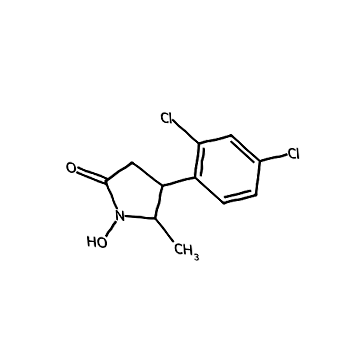 CC1C(c2ccc(Cl)cc2Cl)CC(=O)N1O